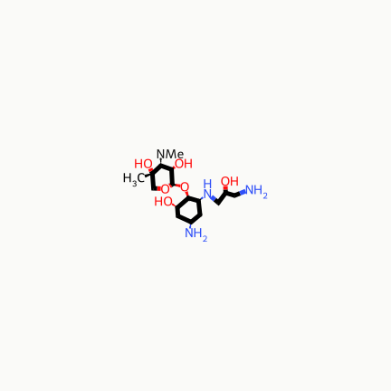 CN[C@@H]1[C@@H](O)[C@@H](O[C@@H]2[C@@H](O)C[C@@H](N)C[C@H]2NCC(O)CN)OC[C@]1(C)O